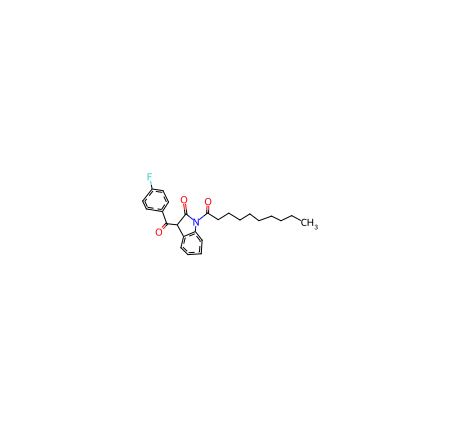 CCCCCCCCCC(=O)N1C(=O)C(C(=O)c2ccc(F)cc2)c2ccccc21